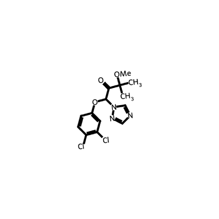 COC(C)(C)C(=O)C(Oc1ccc(Cl)c(Cl)c1)n1cncn1